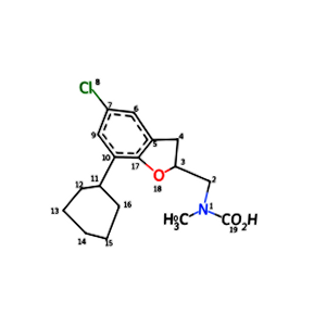 CN(CC1Cc2cc(Cl)cc(C3CCCCC3)c2O1)C(=O)O